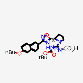 CCCCOc1ccc2cc(-c3noc([C@@H]4CCCN4/C(=N\C(=O)O)NC(=O)OC(C)(C)C)n3)ccc2c1